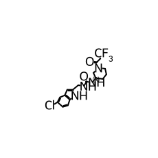 O=C(NCc1cc2cc(Cl)ccc2[nH]1)N[C@@H]1CCCN(C(=O)CC(F)(F)F)C1